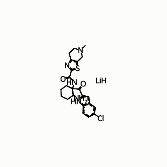 CN1CCc2nc(C(=O)NC3(C(=O)c4cc5cc(Cl)ccc5[nH]4)CCCCC3N)sc2C1.[LiH]